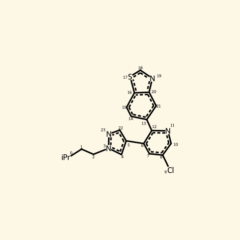 CC(C)CCn1cc(-c2cc(Cl)cnc2-c2ccc3scnc3c2)cn1